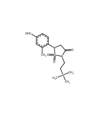 Cc1cc(C=O)ccc1N1CC(=O)N(CC[Si](C)(C)C)S1(=O)=O